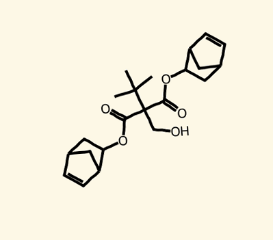 CC(C)(C)C(CO)(C(=O)OC1CC2C=CC1C2)C(=O)OC1CC2C=CC1C2